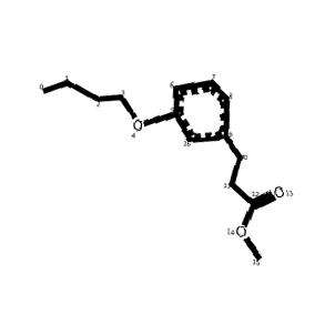 CCCCOc1cccc(CCC(=O)OC)c1